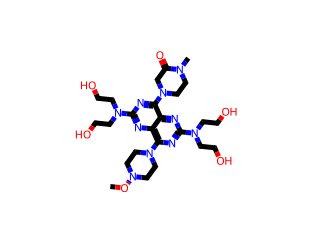 CON1CCN(c2nc(N(CCO)CCO)nc3c(N4CCN(C)C(=O)C4)nc(N(CCO)CCO)nc23)CC1